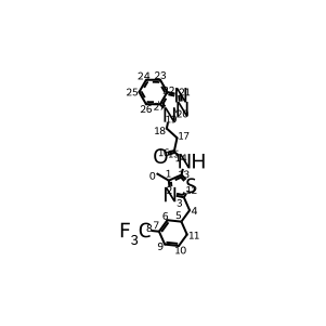 Cc1nc(CC2C=C(C(F)(F)F)C=CC2)sc1NC(=O)CCn1nnc2ccccc21